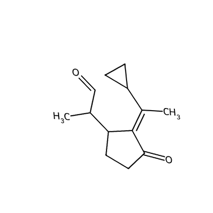 C/C(=C1\C(=O)CCC1C(C)C=O)C1CC1